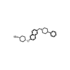 CC(C)(C)[C@H]1CC[C@H](Oc2ccc3cc(CN4CCC(c5ccccc5)CC4)ccc3c2)CC1